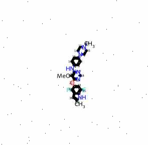 COc1c(Nc2ccc(N3CCN(C)CC3)cc2)ncnc1Oc1cc(F)c2[nH]c(C)cc2c1F